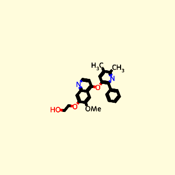 COc1cc2c(Oc3cc(C)c(C)nc3-c3ccccc3)ccnc2cc1OCCO